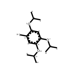 CC(C)Oc1cc(OC(C)C)c(OC(C)C)cc1I